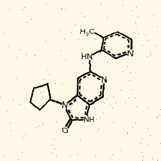 Cc1ccncc1Nc1cc2c(cn1)[nH]c(=O)n2C1CCCC1